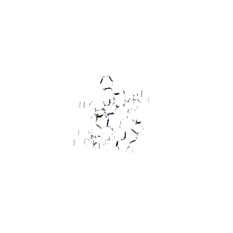 Cc1cc2c(c(C(CC[C@@H]3OC(C)(C)O[C@@H]3C(/C=C\[C@@H](C)C(C)C)OC(=O)c3ccccc3)Sc3ccccc3)c1C(=O)OCC[Si](C)(C)C)N=CC2